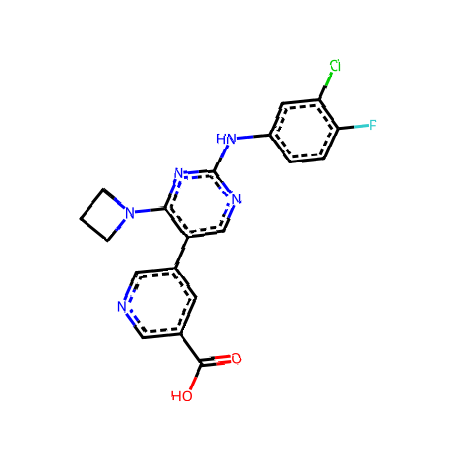 O=C(O)c1cncc(-c2cnc(Nc3ccc(F)c(Cl)c3)nc2N2CCC2)c1